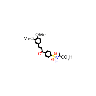 COc1ccc(/C=C/C(=O)c2ccc(S(=O)(=O)NC(C)C(=O)O)cc2)cc1OC